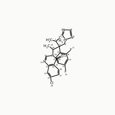 CC(C)C(Cn1cncn1)(c1ccc(F)cc1F)C(C)n1cnc2cc(Cl)ccc2c1=O